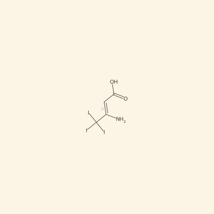 N/C(=C\C(=O)O)C(I)(I)I